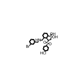 Cl.O=S(=O)(c1ccccc1)C1CS(O)(O)c2cccc(CNCc3cccc(Br)c3)c21